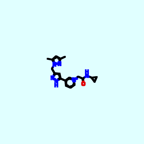 Cc1cc(C)n(Cc2cc(-c3ccc[n+](CC(=O)NC4CC4)c3)[nH]n2)n1